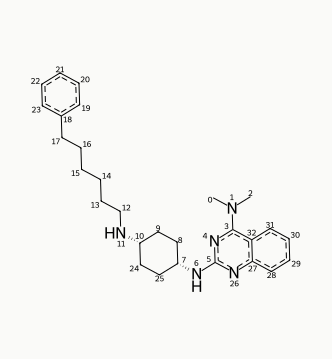 CN(C)c1nc(N[C@H]2CC[C@@H](NCCCCCCc3ccccc3)CC2)nc2ccccc12